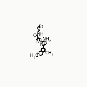 CCOCCNC(=O)c1cnn(-c2nc(-c3cc(C)c4c(c3)CN(C)CC4)cnc2N)c1